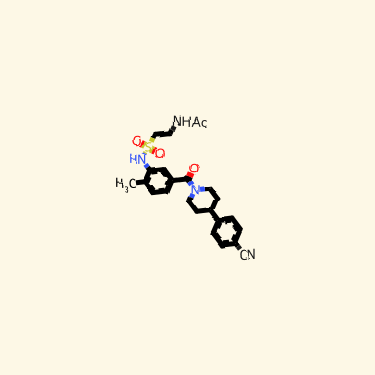 CC(=O)NCCS(=O)(=O)Nc1cc(C(=O)N2CCC(c3ccc(C#N)cc3)CC2)ccc1C